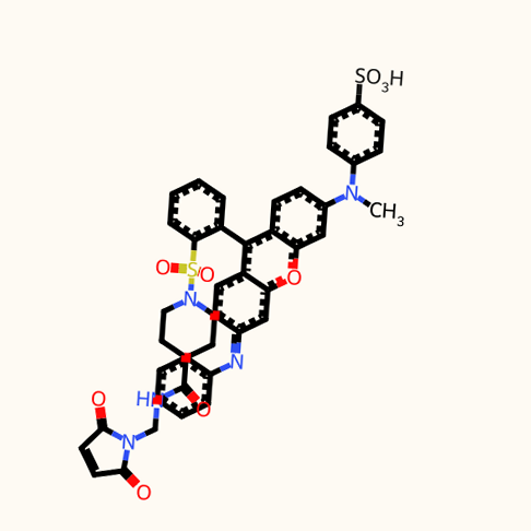 CN(c1ccc(S(=O)(=O)O)cc1)c1ccc2c(-c3ccccc3S(=O)(=O)N3CCC(C(=O)NCN4C(=O)C=CC4=O)CC3)c3cc/c(=N\c4ccccc4)cc-3oc2c1